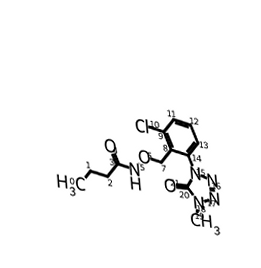 CCCC(=O)NOCc1c(Cl)cccc1-n1nnn(C)c1=O